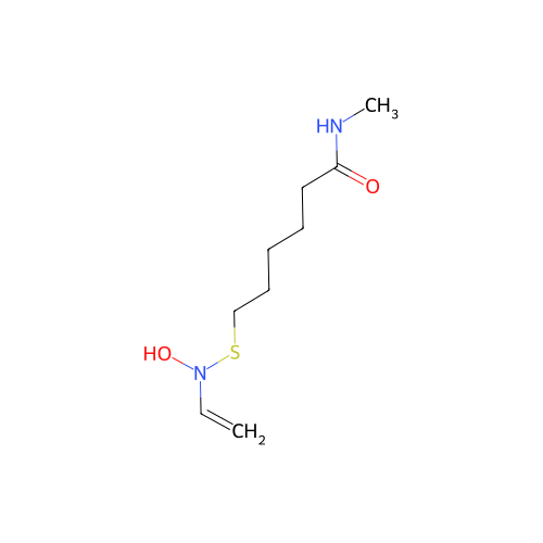 C=CN(O)SCCCCCC(=O)NC